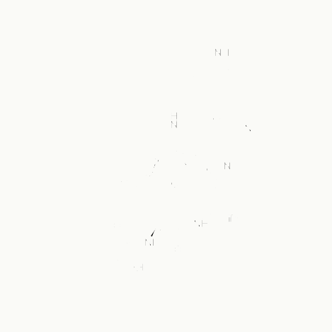 CC(C)[C@@H]1NC(=O)[C@@H](NC(=O)C2(O)CCCCC2)Cc2ccc3c(c2)C24c5cccc(c5NC2O3)-c2cccc3[nH]cc(c23)-c2cnc(o2)-c2nc1oc24